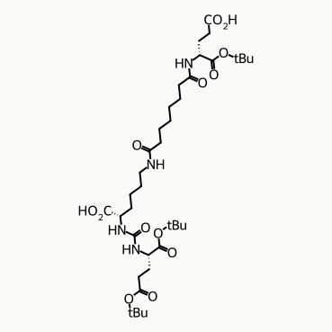 CC(C)(C)OC(=O)CC[C@H](NC(=O)N[C@@H](CCCCNC(=O)CCCCCCC(=O)N[C@H](CCC(=O)O)C(=O)OC(C)(C)C)C(=O)O)C(=O)OC(C)(C)C